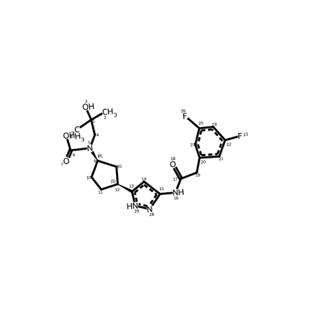 CC(C)(O)CN(C(=O)O)[C@@H]1CC[C@H](c2cc(NC(=O)Cc3cc(F)cc(F)c3)n[nH]2)C1